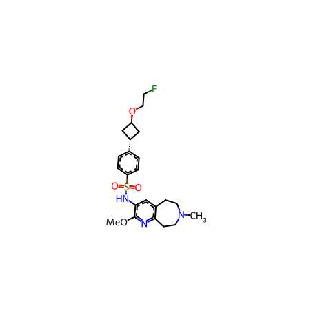 COc1nc2c(cc1NS(=O)(=O)c1ccc([C@H]3C[C@H](OCCF)C3)cc1)CCN(C)CC2